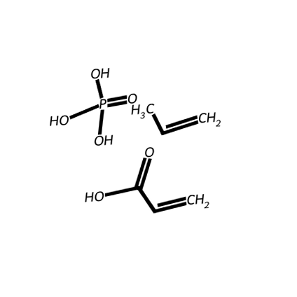 C=CC.C=CC(=O)O.O=P(O)(O)O